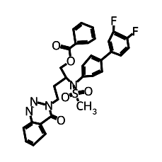 CS(=O)(=O)N(c1ccc(-c2ccc(F)c(F)c2)cc1)C(CCn1nnc2ccccc2c1=O)COC(=O)c1ccccc1